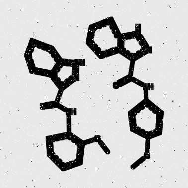 COc1ccc(NC(=O)c2n[nH]c3ccccc23)cc1.COc1ccccc1NC(=O)c1n[nH]c2ccccc12